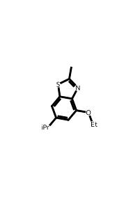 CCOc1cc(C(C)C)cc2sc(C)nc12